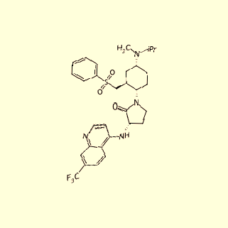 CC(C)N(C)[C@@H]1CC[C@H](N2CC[C@H](Nc3ccnc4cc(C(F)(F)F)ccc34)C2=O)[C@@H](CS(=O)(=O)c2ccccc2)C1